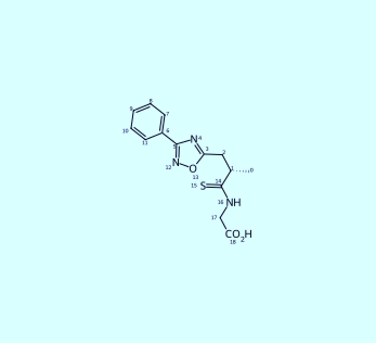 C[C@@H](Cc1nc(-c2ccccc2)no1)C(=S)NCC(=O)O